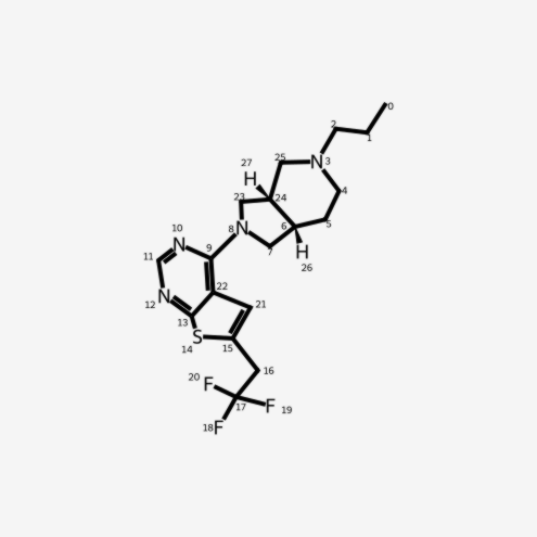 CCCN1CC[C@@H]2CN(c3ncnc4sc(CC(F)(F)F)cc34)C[C@@H]2C1